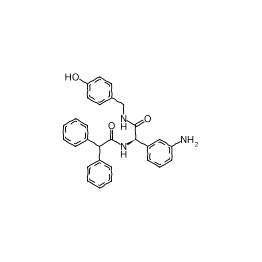 Nc1cccc([C@@H](NC(=O)C(c2ccccc2)c2ccccc2)C(=O)NCc2ccc(O)cc2)c1